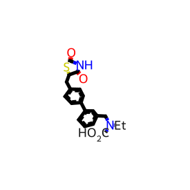 CCN(Cc1cccc(-c2ccc(CC3SC(=O)NC3=O)cc2)c1)C(=O)O